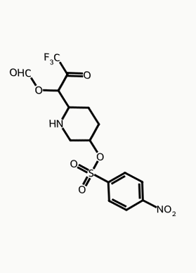 O=COC(C(=O)C(F)(F)F)C1CCC(OS(=O)(=O)c2ccc([N+](=O)[O-])cc2)CN1